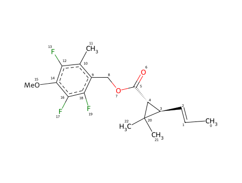 CC=C[C@@H]1[C@@H](C(=O)OCc2c(C)c(F)c(OC)c(F)c2F)C1(C)C